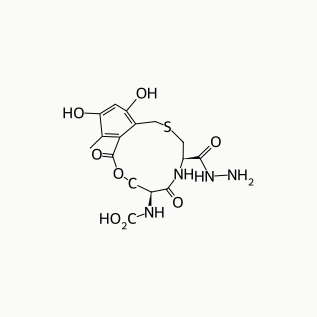 Cc1c(O)cc(O)c2c1C(=O)OC[C@H](NC(=O)O)C(=O)N[C@H](C(=O)NN)CSC2